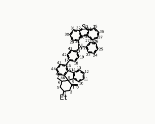 C=C1CC(CC)CC(C)C12c1ccccc1-c1c(-c3ccc(N(c4ccccc4)c4cccc5sc6ccccc6c45)cc3)cccc12